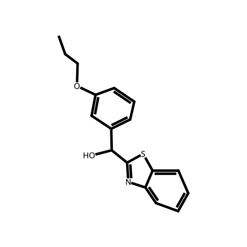 CCCOc1cccc(C(O)c2nc3ccccc3s2)c1